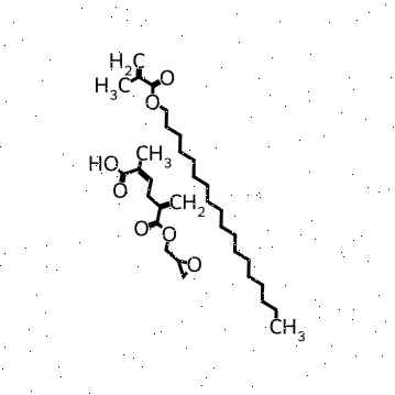 C=C(C)C(=O)OCCCCCCCCCCCCCCCCCC.C=C(CC=C(C)C(=O)O)C(=O)OCC1CO1